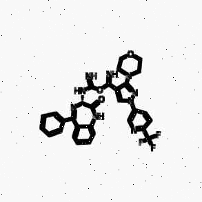 N=C(N[C@H]1N=C(c2ccccc2)c2ccccc2NC1=O)OC(=N)c1cn(-c2ccc(C(F)(F)F)nc2)nc1N1CCOCC1